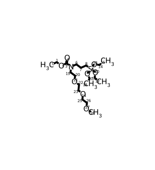 CCOC(=O)N(CCC[Si](OCC)(OCC)OCC)CCOCCOCCOC